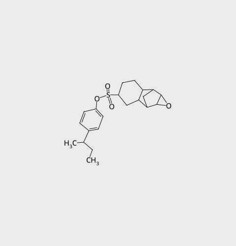 CCC(C)c1ccc(OS(=O)(=O)C2CCC3C(C2)C2CC3C3OC23)cc1